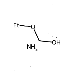 CCOCO.N